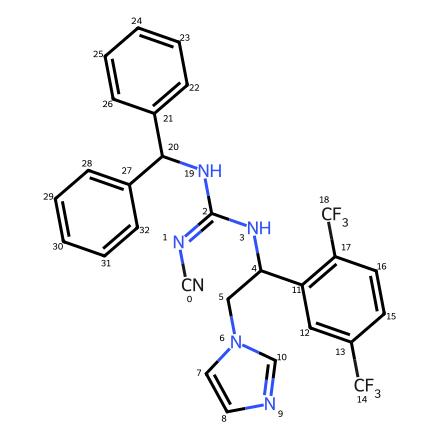 N#CN=C(NC(Cn1ccnc1)c1cc(C(F)(F)F)ccc1C(F)(F)F)NC(c1ccccc1)c1ccccc1